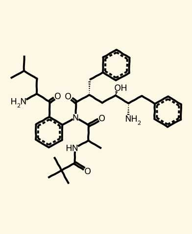 CC(C)CC(N)C(=O)c1ccccc1N(C(=O)C(C)NC(=O)C(C)(C)C)C(=O)[C@H](Cc1ccccc1)C[C@H](O)[C@@H](N)Cc1ccccc1